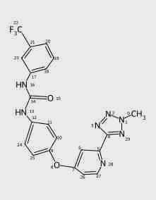 Cn1nnc(-c2cc(Oc3ccc(NC(=O)Nc4cccc(C(F)(F)F)c4)cc3)ccn2)n1